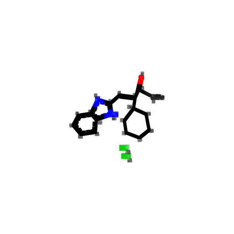 COC(=O)C(=Cc1nc2ccccc2[nH]1)C1CCCCC1.Cl.Cl